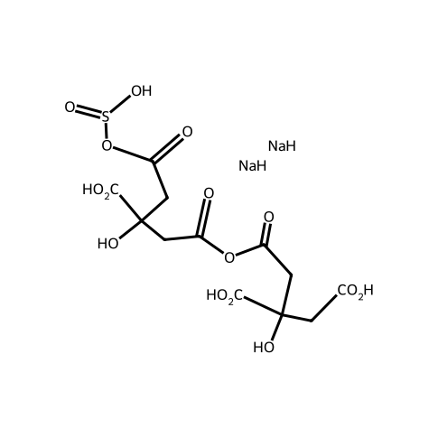 O=C(O)CC(O)(CC(=O)OC(=O)CC(O)(CC(=O)OS(=O)O)C(=O)O)C(=O)O.[NaH].[NaH]